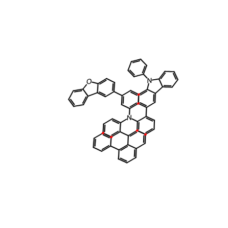 c1ccc(-c2cccc3cccc(-c4ccccc4N(c4cccc(-c5ccc6oc7ccccc7c6c5)c4)c4ccccc4-c4ccc5c(c4)c4ccccc4n5-c4ccccc4)c23)cc1